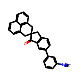 [C-]#[N+]c1cccc(-c2ccc3c(c2)C(=O)C2(C3)Cc3cccc4cccc(c34)C2)c1